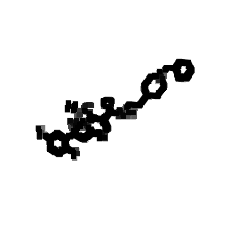 Cc1c(C(=O)NCCC2CCN(Cc3ccccc3)CC2)cnc2cc(-c3cc(F)ccc3F)nn12